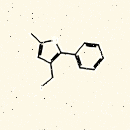 Cc1cc(CI)c(-c2ccccc2)o1